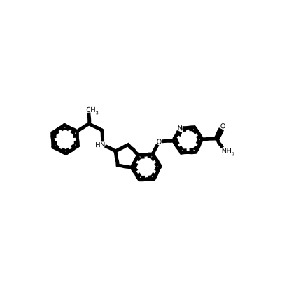 CC(CNC1Cc2cccc(Oc3ccc(C(N)=O)cn3)c2C1)c1ccccc1